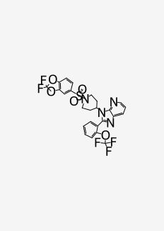 O=S(=O)(c1ccc2c(c1)OC(F)(F)O2)N1CCC(n2c(-c3ccccc3OC(F)(F)F)nc3cccnc32)CC1